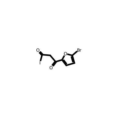 O=C(I)CC(=O)c1ccc(Br)o1